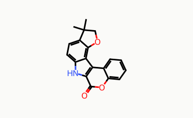 CC1(C)COc2c1ccc1[nH]c3c(=O)oc4ccccc4c3c21